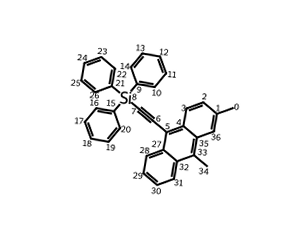 Cc1ccc2c(C#C[Si](c3ccccc3)(c3ccccc3)c3ccccc3)c3ccccc3c(C)c2c1